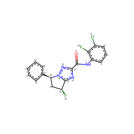 O=C(Nc1cccc(Cl)c1F)c1nc2n(n1)[C@H](c1ccccc1)C[C@@H]2F